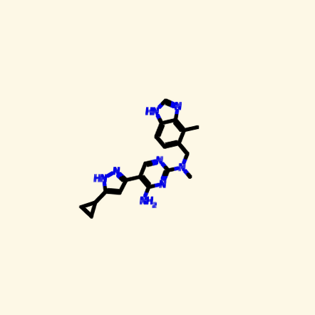 Cc1c(CN(C)c2ncc(-c3cc(C4CC4)[nH]n3)c(N)n2)ccc2[nH]cnc12